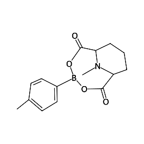 Cc1ccc(B2OC(=O)C3CCCC(C(=O)O2)N3C)cc1